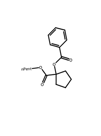 CCCCCOC(=O)C1(OC(=O)c2ccccc2)CCCC1